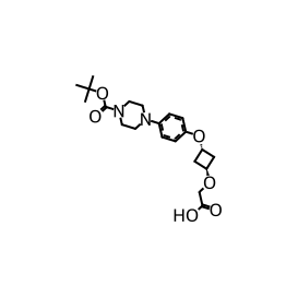 CC(C)(C)OC(=O)N1CCN(c2ccc(O[C@H]3C[C@H](OCC(=O)O)C3)cc2)CC1